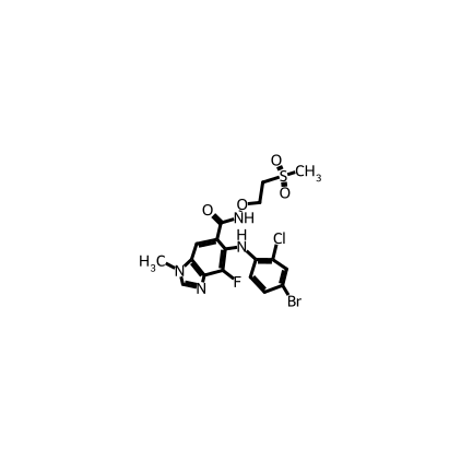 Cn1cnc2c(F)c(Nc3ccc(Br)cc3Cl)c(C(=O)NOCCS(C)(=O)=O)cc21